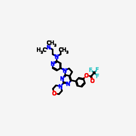 CCN(CCN(C)C)c1cc(N2CCc3c(-c4cccc(OC(=O)C(F)(F)F)c4)nc(N4CCOCC4)nc32)ccn1